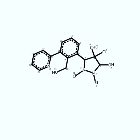 CCN1C(O)C(Cl)(C=O)C(c2cccc(-c3ccccn3)c2CO)N1Cl